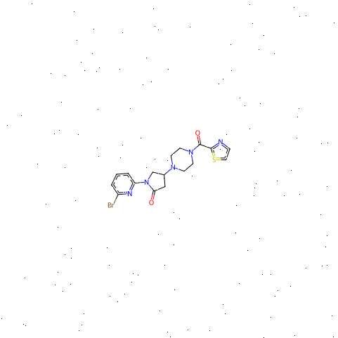 O=C(c1nccs1)N1CCN(C2CC(=O)N(c3cccc(Br)n3)C2)CC1